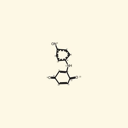 O=Nc1ccc(NC2=CC(=O)C=CC2=O)cc1